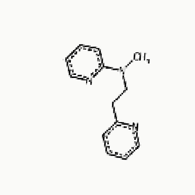 CN(CCc1ccccn1)c1cc[c]cn1